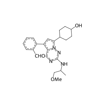 COCC(C)Nc1ncc2c(-c3ccccc3C=O)cc(C3CCC(O)CC3)n2n1